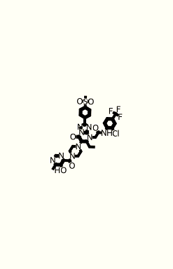 CCc1c(N2CCN(C(=O)c3ncnc(C)c3O)CC2)c(=O)n2nc(-c3ccc(S(C)(=O)=O)cc3)nc2n1CC(=O)Nc1ccc(C(F)(F)F)cc1Cl